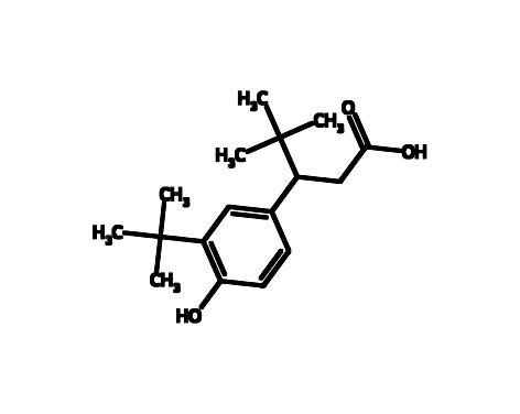 CC(C)(C)c1cc(C(CC(=O)O)C(C)(C)C)ccc1O